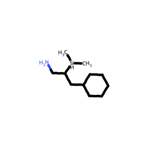 C[SiH](C)C(CN)CC1CCCCC1